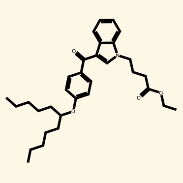 CCCCCC(CCCCC)Oc1ccc(C(=O)c2cn(CCCC(=O)OCC)c3ccccc23)cc1